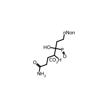 CCCCCCCCCCCC(O)(P=O)C(CCC(N)=O)C(=O)O